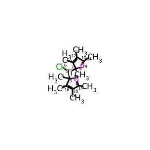 CC1=P[C](C)([Ti]([Cl])[C]2(C)P=C(C)C(C)=C2C)C(C)=C1C